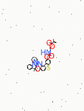 C=C(C)C(=O)OCCNC(=O)Oc1ccc2sc3ccc4c(c3c2c1)N=C(N1CCCCC1)[C@@]1(O4)N(C)c2ccccc2C1(C)C